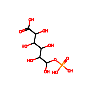 O=C(O)C(O)C(O)C(O)C(O)C(O)OP(=O)(O)O